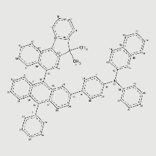 CC1(C)c2ccccc2-c2c1cc(-c1c3ccccc3c(-c3ccccc3)c3ccc(-c4ccc(N(c5ccccc5)c5ccc6ccccc6c5)cc4)cc13)c1ccccc21